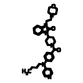 CCCCN(c1ccncc1)c1ccc(C(=O)N2CCC(n3c(=O)n(CCN4CCOCC4)c4ccccc43)CC2)cc1